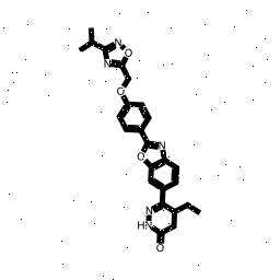 CCC1CC(=O)NN=C1c1ccc2nc(-c3ccc(OCc4nc(C(C)C)no4)cc3)oc2c1